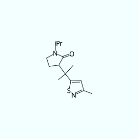 Cc1cc(C(C)(C)C2CCN(C(C)C)C2=O)sn1